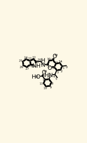 Cc1cc(C(C)Nc2ccccc2C(=O)O)c2oc(NCc3cc4ccccc4[nH]3)cc(=O)c2c1